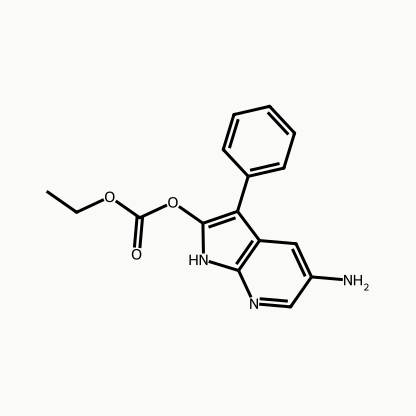 CCOC(=O)Oc1[nH]c2ncc(N)cc2c1-c1ccccc1